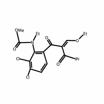 CCOC=C(C(=O)c1ccc(Cl)c(Cl)c1N(CC)C(=O)OC)C(=O)C(C)C